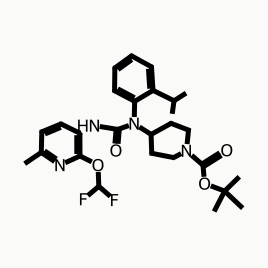 Cc1ccc(NC(=O)N(c2ccccc2C(C)C)C2CCN(C(=O)OC(C)(C)C)CC2)c(OC(F)F)n1